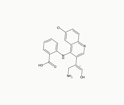 NC/C(=C\O)c1cnc2ccc(Cl)cc2c1Nc1ccccc1C(=O)O